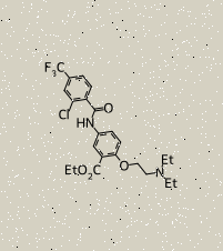 CCOC(=O)c1cc(NC(=O)c2ccc(C(F)(F)F)cc2Cl)ccc1OCCN(CC)CC